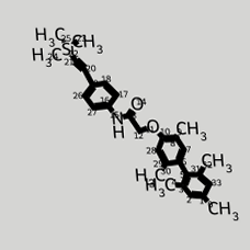 Cc1cc(C)c(-c2cc(C)c(OCC(=O)Nc3ccc(C#C[Si](C)(C)C)cc3)cc2C)c(C)c1